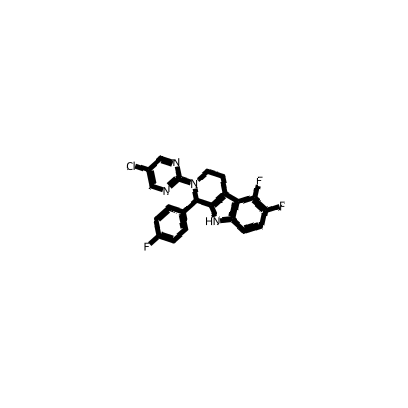 Fc1ccc(C2c3[nH]c4ccc(F)c(F)c4c3CCN2c2ncc(Cl)cn2)cc1